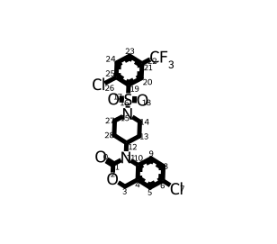 O=C1OCc2cc(Cl)ccc2N1C1CCN(S(=O)(=O)c2cc(C(F)(F)F)ccc2Cl)CC1